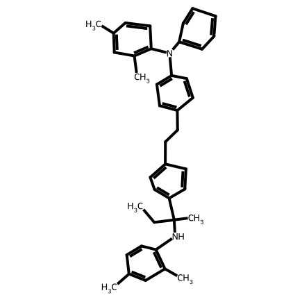 CCC(C)(Nc1ccc(C)cc1C)c1ccc(CCc2ccc(N(c3ccccc3)c3ccc(C)cc3C)cc2)cc1